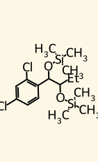 CCC(O[Si](C)(C)C)C(O[Si](C)(C)C)c1ccc(Cl)cc1Cl